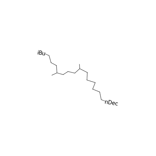 CCCCCCCCCCCCCCCCC(C)CCCC(C)CCCC(C)CC